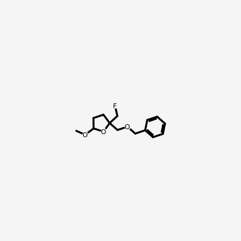 COC1CCC(CF)(COCc2ccccc2)O1